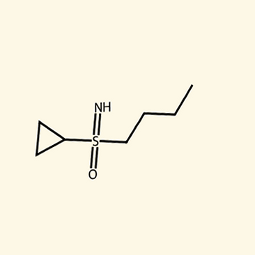 CCCCS(=N)(=O)C1CC1